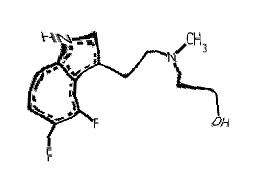 CN(CCO)CCc1c[nH]c2ccc(F)c(F)c12